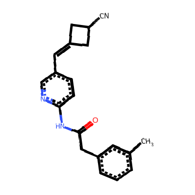 Cc1cccc(CC(=O)Nc2ccc(C=C3CC(C#N)C3)cn2)c1